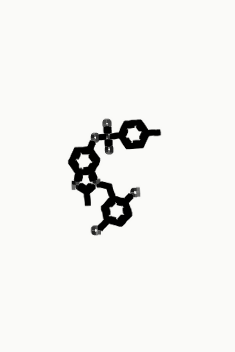 Cc1ccc(S(=O)(=O)Oc2ccc3nc(C)n(Cc4cc(Cl)ccc4Cl)c3c2)cc1